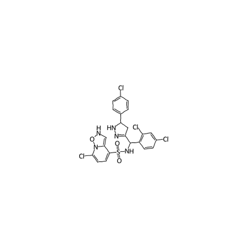 O=S(=O)(NC(C1=NNC(c2ccc(Cl)cc2)C1)c1ccc(Cl)cc1Cl)C1=CC=C(Cl)N2ONC=C12